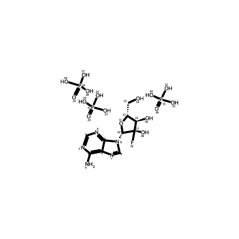 Nc1ncnc2c1ncn2[C@@H]1O[C@H](CO)[C@@H](O)[C@]1(O)F.O=P(O)(O)O.O=P(O)(O)O.O=P(O)(O)O